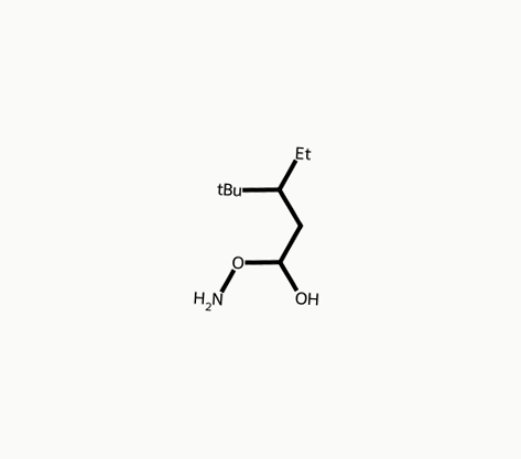 CCC(CC(O)ON)C(C)(C)C